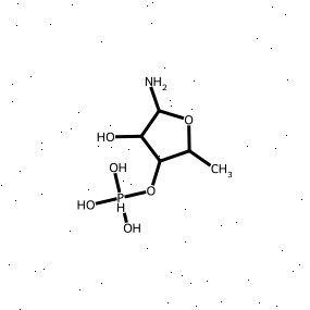 CC1OC(N)C(O)C1O[PH](O)(O)O